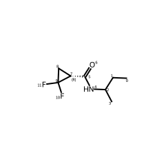 CCC(C)NC(=O)[C@H]1CC1(F)F